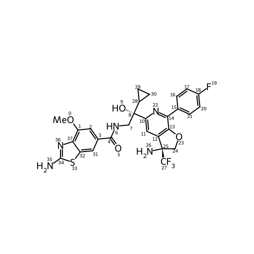 COc1cc(C(=O)NC[C@](O)(c2cc3c(c(-c4ccc(F)cc4)n2)OC[C@@]3(N)C(F)(F)F)C2CC2)cc2sc(N)nc12